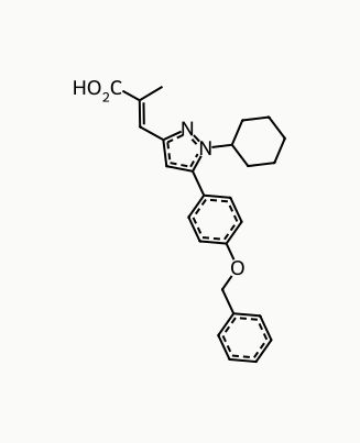 CC(=Cc1cc(-c2ccc(OCc3ccccc3)cc2)n(C2CCCCC2)n1)C(=O)O